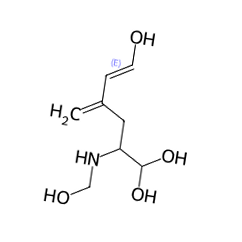 C=C(/C=C/O)CC(NCO)C(O)O